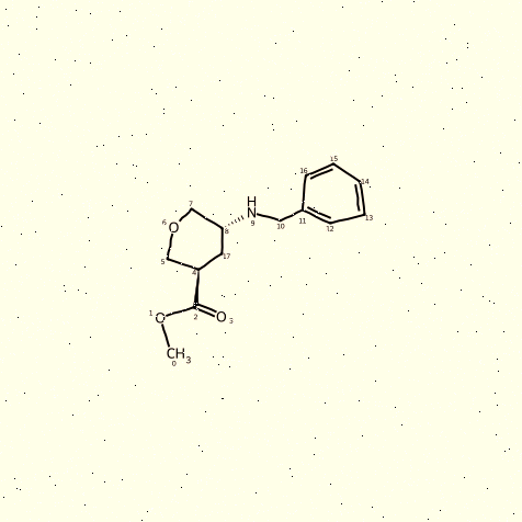 COC(=O)[C@H]1COC[C@H](NCc2ccccc2)C1